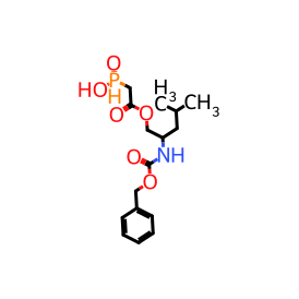 CC(C)CC(COC(=O)C[PH](=O)O)NC(=O)OCc1ccccc1